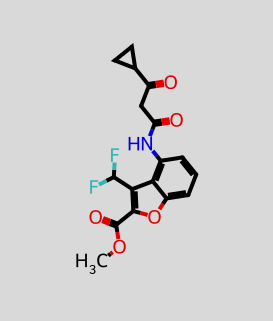 COC(=O)c1oc2cccc(NC(=O)CC(=O)C3CC3)c2c1C(F)F